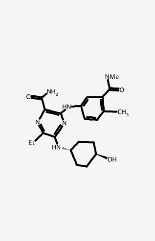 CCc1nc(C(N)=O)c(Nc2ccc(C)c(C(=O)NC)c2)nc1N[C@H]1CC[C@H](O)CC1